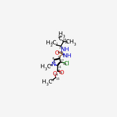 C=CC(NS(=N)(=O)c1cn(C)c(C(=O)OCC)c1Cl)C(C)C